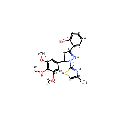 COc1cc(C2CC(c3ccccc3Br)=NN2c2nc(C)cs2)cc(OC)c1OC